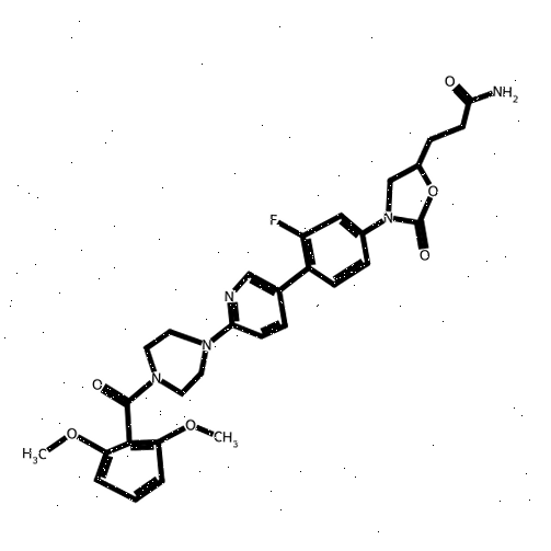 COc1cccc(OC)c1C(=O)N1CCN(c2ccc(-c3ccc(N4CC(CCC(N)=O)OC4=O)cc3F)cn2)CC1